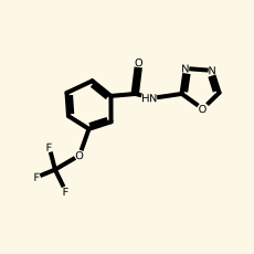 O=C(Nc1nnco1)c1cccc(OC(F)(F)F)c1